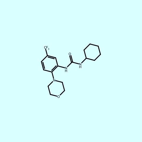 O=C(Nc1cc(C(F)(F)F)ccc1N1CCOCC1)NC1CCCCC1